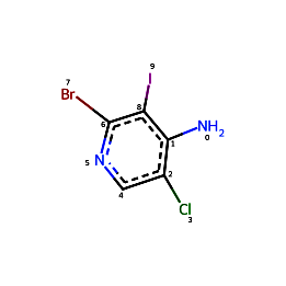 Nc1c(Cl)cnc(Br)c1I